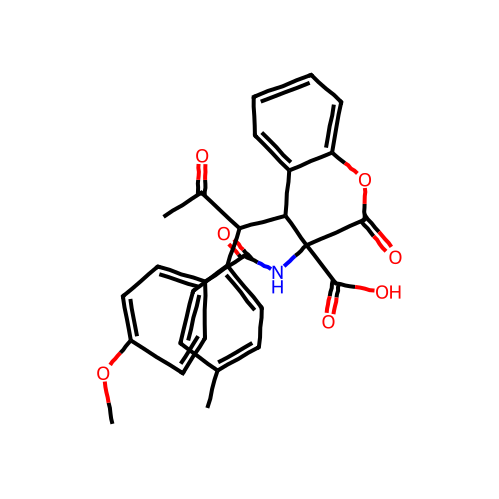 COc1ccc(C(=O)NC2(C(=O)O)C(=O)Oc3ccccc3C2C(C(C)=O)c2ccc(C)cc2)cc1